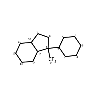 FC(F)(F)C1(C2CCCCC2)CCC2CCCCC21